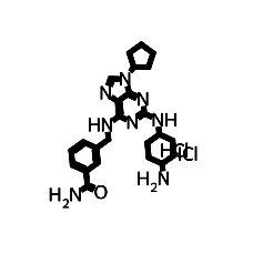 Cl.Cl.NC(=O)c1cccc(CNc2nc(NC3CCC(N)CC3)nc3c2ncn3C2CCCC2)c1